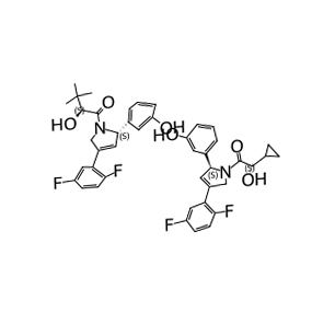 CC(C)(C)[C@H](O)C(=O)N1CC(c2cc(F)ccc2F)=C[C@H]1c1cccc(O)c1.O=C([C@@H](O)C1CC1)N1CC(c2cc(F)ccc2F)=C[C@H]1c1cccc(O)c1